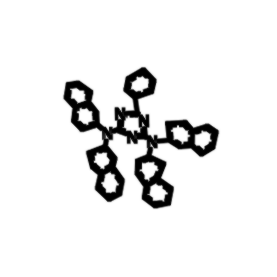 c1ccc(-c2nc(N(c3ccc4ccccc4c3)c3ccc4ccccc4c3)nc(N(c3ccc4ccccc4c3)c3ccc4ccccc4c3)n2)cc1